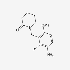 COc1ccc(N)c(F)c1CN1CCCCC1=O